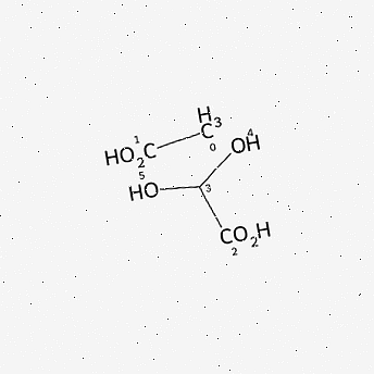 CC(=O)O.O=C(O)C(O)O